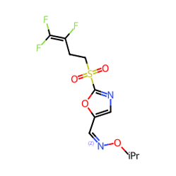 CC(C)O/N=C\c1cnc(S(=O)(=O)CCC(F)=C(F)F)o1